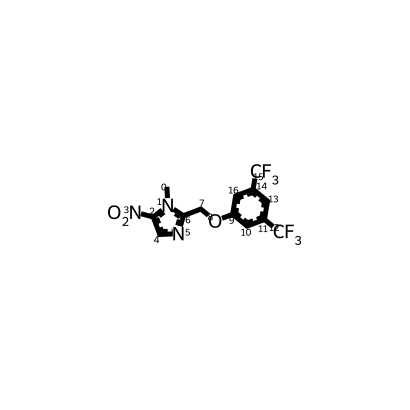 Cn1c([N+](=O)[O-])cnc1COc1cc(C(F)(F)F)cc(C(F)(F)F)c1